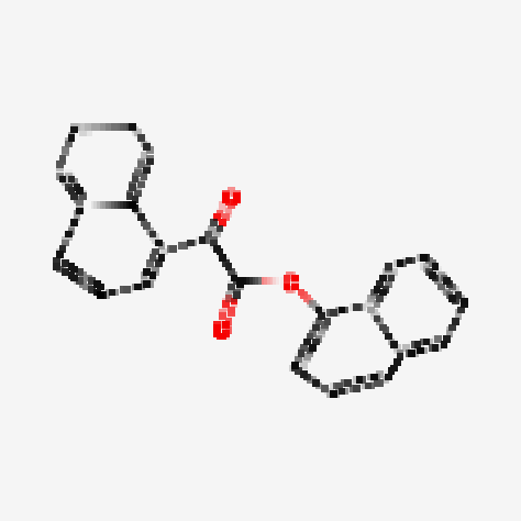 O=C(Oc1cccc2ccccc12)C(=O)c1cccc2ccccc12